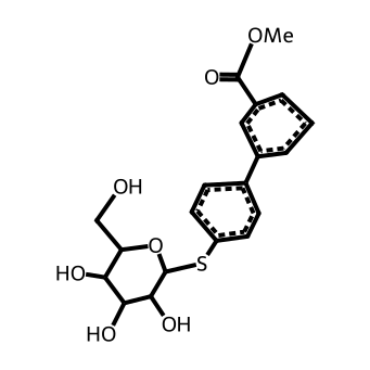 COC(=O)c1cccc(-c2ccc(SC3OC(CO)C(O)C(O)C3O)cc2)c1